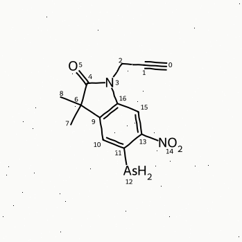 C#CCN1C(=O)C(C)(C)c2cc([AsH2])c([N+](=O)[O-])cc21